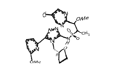 COc1cccc(-c2nnc(NS(=O)(=O)C(C)C(OC)c3ncc(Cl)cn3)n2C[C@H]2CCO2)n1